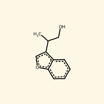 CC(CO)c1coc2ccccc12